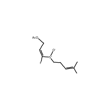 CC(=O)OCC=C(F)[S+]([O-])CCC=C(C)C